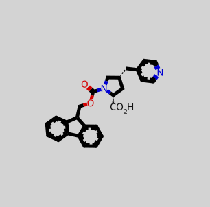 O=C(O)[C@H]1C[C@@H](Cc2ccncc2)CN1C(=O)OCC1c2ccccc2-c2ccccc21